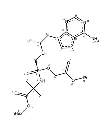 CCCCCCOC(=O)C(C)(C)N[P@@](=O)(CO[C@H](C)Cn1cnc2c(N)ncnc21)OCC(=O)OC(C)C